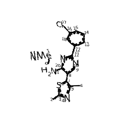 CNC.Cc1nc(C)c(-c2cnc(-c3cccc(Cl)c3)nc2N)s1